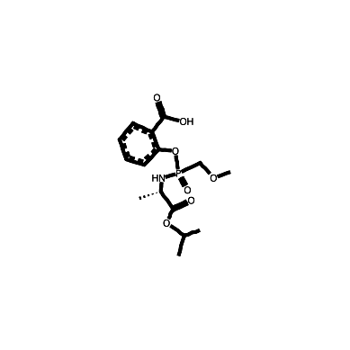 COCP(=O)(N[C@@H](C)C(=O)OC(C)C)Oc1ccccc1C(=O)O